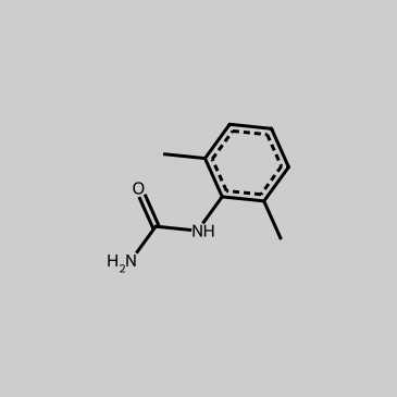 Cc1cccc(C)c1NC(N)=O